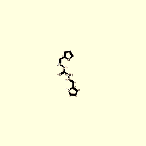 S=C(N/N=C\c1cccs1)N/N=C/c1cccs1